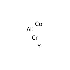 [Al].[Co].[Cr].[Y]